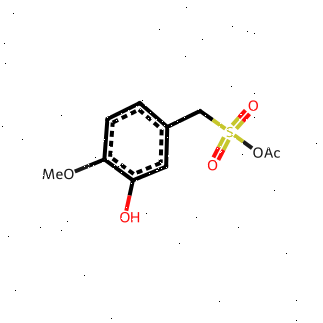 COc1ccc(CS(=O)(=O)OC(C)=O)cc1O